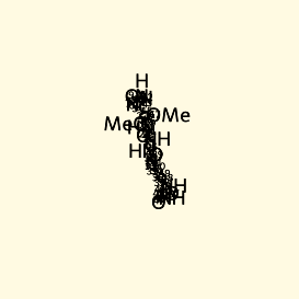 COc1cc(-c2cn(C)c(=O)c3[nH]ncc23)cc(OC)c1CNCC(=O)NCCNC(=O)CN1CCC(c2ccc(NC3CCC(=O)NC3=O)cc2)CC1